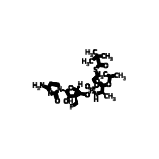 CC(C)OC(=O)[C@H](C)NP(=O)(OCCSC(=O)C(C)(C)C)OC1[C@H]2O[C@@H](n3ccc(N)nc3=O)[C@H](O)[C@@]12CF